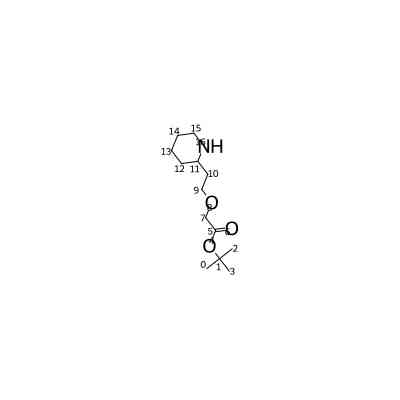 CC(C)(C)OC(=O)COCCC1CCCCN1